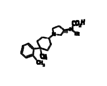 CCN(C(=O)O)[C@@H]1CCN(C2CCC(C#N)(c3ccccc3C)CC2)C1